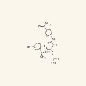 C[C@H](NC(=O)[C@H](CCC(=O)O)NC(=O)Nc1ccc(C(=N)N)cc1)c1cccc(Br)c1